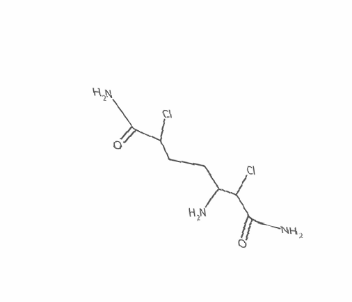 NC(=O)C(Cl)CCC(N)C(Cl)C(N)=O